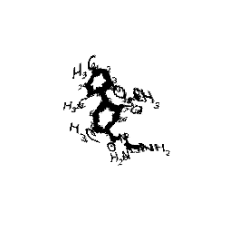 Cc1ccc(-c2cc(C)c(C(=O)N=C(N)N)cc2S(C)(=O)=O)c(C)c1